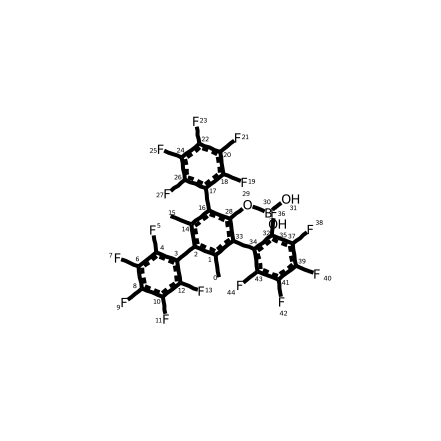 Cc1c(-c2c(F)c(F)c(F)c(F)c2F)c(C)c(-c2c(F)c(F)c(F)c(F)c2F)c(OB(O)O)c1-c1c(F)c(F)c(F)c(F)c1F